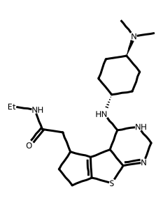 CCNC(=O)CC1CCC2=C1C1C(=NCNC1N[C@H]1CC[C@H](N(C)C)CC1)S2